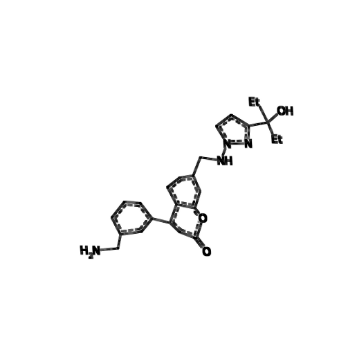 CCC(O)(CC)c1ccn(NCc2ccc3c(-c4cccc(CN)c4)cc(=O)oc3c2)n1